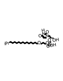 CC(C)CCCCCCCCCCCCCCOCCCOP(=O)(O)CO[C@H](CO)Cn1ccc(=O)[nH]c1=O